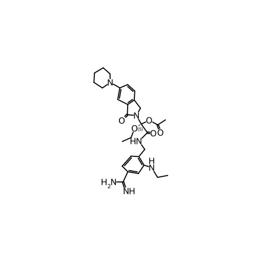 CCNc1cc(C(=N)N)ccc1CNC(=O)[C@](OCC)(OC(C)=O)N1Cc2ccc(N3CCCCC3)cc2C1=O